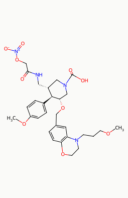 COCCCN1CCOc2ccc(CO[C@H]3CN(C(=O)O)C[C@@H](CNC(=O)CO[N+](=O)[O-])[C@@H]3c3ccc(OC)cc3)cc21